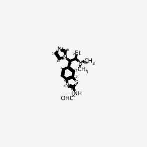 CCC(C(c1ccc2nc(NC=O)sc2c1)n1ccnc1)N(C)C